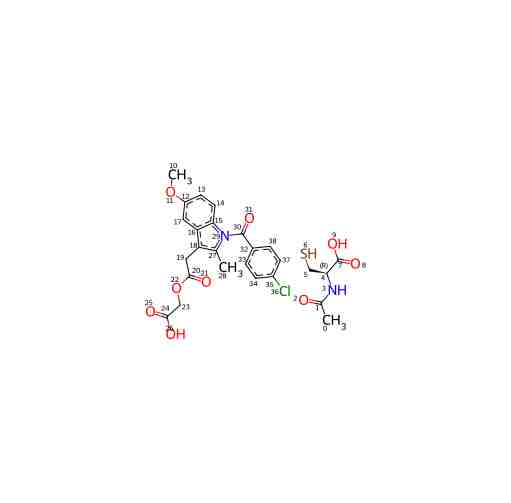 CC(=O)N[C@@H](CS)C(=O)O.COc1ccc2c(c1)c(CC(=O)OCC(=O)O)c(C)n2C(=O)c1ccc(Cl)cc1